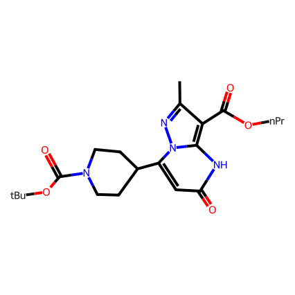 CCCOC(=O)c1c(C)nn2c(C3CCN(C(=O)OC(C)(C)C)CC3)cc(=O)[nH]c12